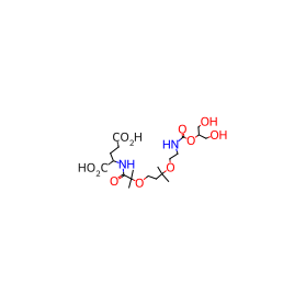 CC(C)(CCOC(C)(C)C(=O)NC(CCC(=O)O)C(=O)O)OCCNC(=O)OC(CO)CO